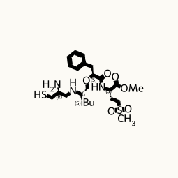 CC[C@H](C)[C@@H](CO[C@@H](Cc1ccccc1)C(=O)N[C@@H](CCS(C)(=O)=O)C(=O)OC)NC[C@@H](N)CS